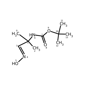 CC(C)(C=NO)NC(=O)OC(C)(C)C